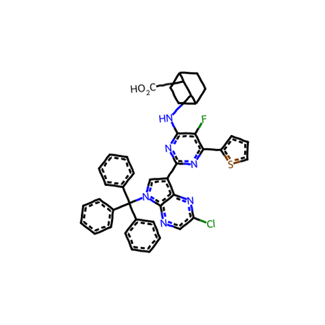 O=C(O)C1C2CCC(CC2)C1Nc1nc(-c2cn(C(c3ccccc3)(c3ccccc3)c3ccccc3)c3ncc(Cl)nc23)nc(-c2cccs2)c1F